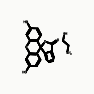 NCCS.O=C1OC2(c3ccc(O)cc3Oc3cc(O)ccc32)c2ccccc21